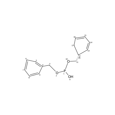 OP(OCc1ccccc1)OC[C@H]1C=CC=CC1